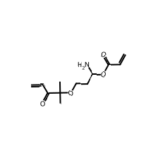 C=CC(=O)OC(N)CCOC(C)(C)C(=O)C=C